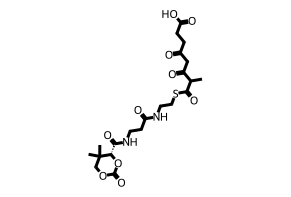 CC(C(=O)CC(=O)CCC(=O)O)C(=O)SCCNC(=O)CCNC(=O)[C@@H]1OC(=O)OCC1(C)C